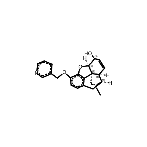 CN1CC[C@]23c4c5ccc(OCc6cccnc6)c4O[C@H]2[C@@H](O)C=C[C@H]3[C@H]1C5